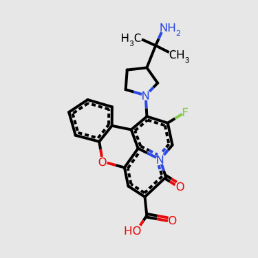 CC(C)(N)C1CCN(c2c(F)cn3c(=O)c(C(=O)O)cc4c3c2-c2ccccc2O4)C1